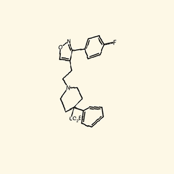 CCOC(=O)C1(c2ccccc2)CCN(CCc2conc2-c2ccc(F)cc2)CC1